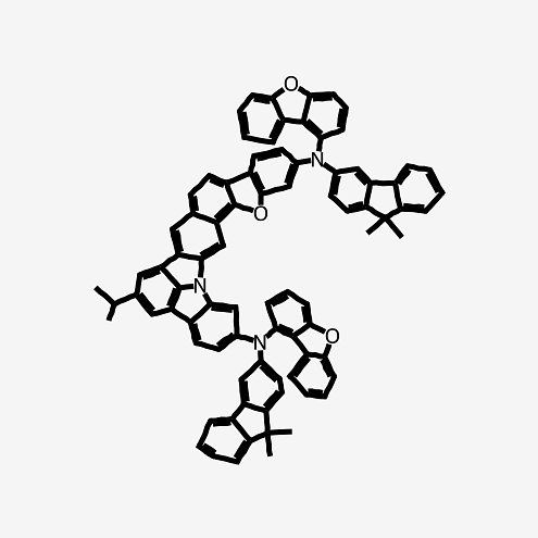 CC(C)c1cc2c3ccc(N(c4ccc5c(c4)-c4ccccc4C5(C)C)c4cccc5oc6ccccc6c45)cc3n3c4cc5c(ccc6c7ccc(N(c8ccc9c(c8)-c8ccccc8C9(C)C)c8cccc9oc%10ccccc%10c89)cc7oc56)cc4c(c1)c23